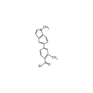 CCC(=O)c1ccc(-c2ccc3c(ccn3C)c2)cc1C